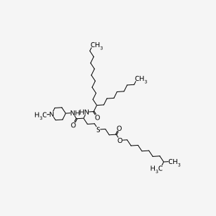 CCCCCCCCCCC(CCCCCCCC)C(=O)NC(CCSCCC(=O)OCCCCCCCC(C)C)C(=O)NC1CCN(C)CC1